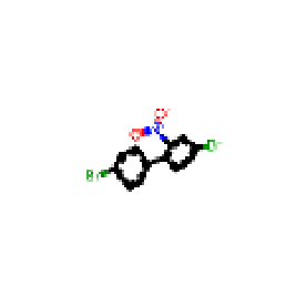 O=[N+]([O-])c1cc(Br)ccc1-c1ccc(Br)cc1